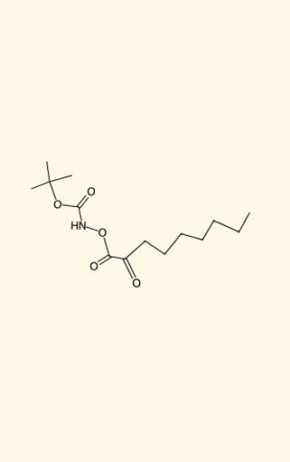 CCCCCCCC(=O)C(=O)ONC(=O)OC(C)(C)C